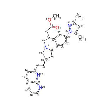 COC(=O)CC(CN1CC[C@@H](CCc2ccc3cccnc3n2)C1)c1cccc(-n2nc(C)cc2C)c1